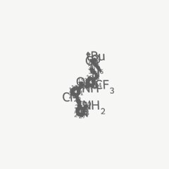 CC(C)(C)OC(=O)N1CCN(Cc2ccc(NC(=O)c3ccc(Cl)c(C#Cc4cccnc4N)c3)cc2C(F)(F)F)CC1